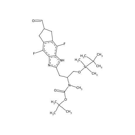 CN(C(=O)OC(C)(C)C)C(CO[Si](C)(C)C(C)(C)C)Cc1nc2c(F)c3c(c(F)c2[nH]1)CC(C=O)C3